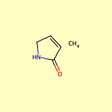 C.O=C1C=CCN1